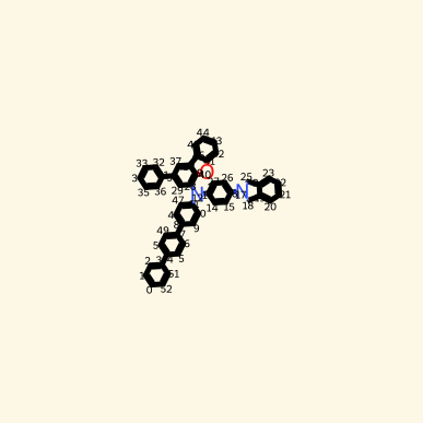 c1ccc(-c2ccc(-c3ccc(N(c4ccc(N5Cc6ccccc6C5)cc4)c4cc(-c5ccccc5)cc5c4oc4ccccc45)cc3)cc2)cc1